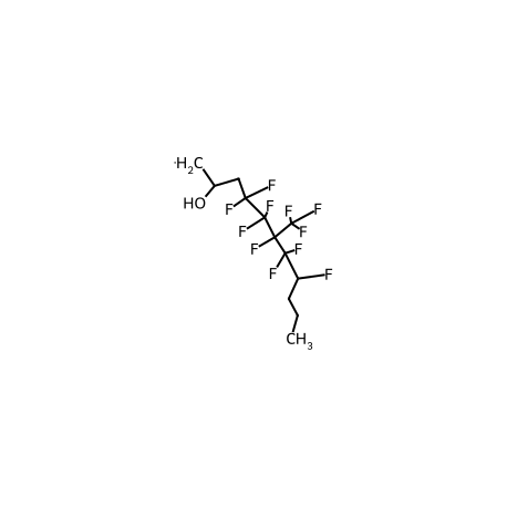 [CH2]C(O)CC(F)(F)C(F)(F)C(F)(C(F)(F)F)C(F)(F)C(F)CCC